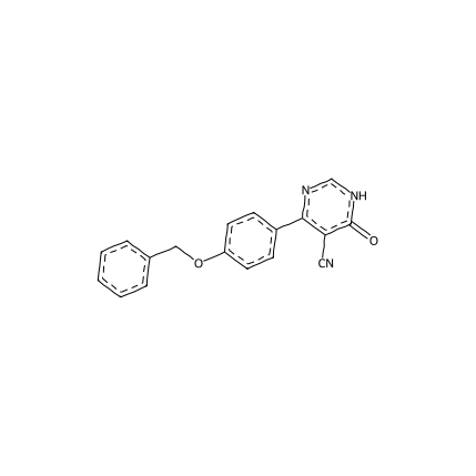 N#Cc1c(-c2ccc(OCc3ccccc3)cc2)nc[nH]c1=O